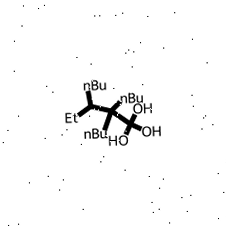 CCCCC(CC)C(CCCC)(CCCC)C(O)(O)O